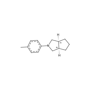 Cc1ccc(N2C[C@H]3CCC[C@H]3C2)cc1